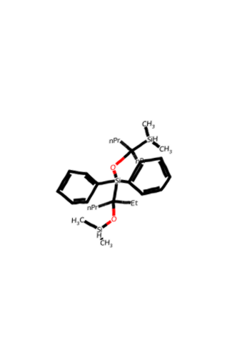 CCCC(CCC)(O[Si](c1ccccc1)(c1ccccc1)C(CC)(CCC)O[SiH](C)C)[SiH](C)C